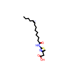 CCCC/C=C\CCCCCCCC(=O)Nc1nc(CC(=O)O)cs1